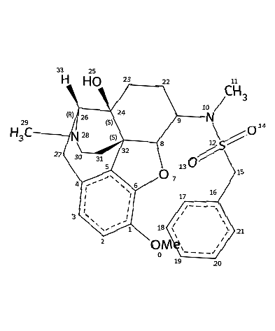 COc1ccc2c3c1OC1C(N(C)S(=O)(=O)Cc4ccccc4)CC[C@@]4(O)[C@@H](C2)N(C)CC[C@]314